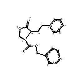 O=C1OCN(C(=O)OCc2ccccc2)C1CCc1ccccc1